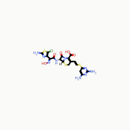 Nc1cc(S/C=C/C2=C(C(=O)O)N3C(=O)[C@@H](NC(=O)C(=NO)c4nc(N)sc4Cl)[C@H]3SC2)nc(N)n1